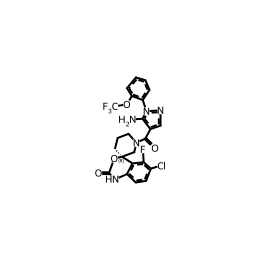 Nc1c(C(=O)N2CCC[C@@]3(C2)OC(=O)Nc2ccc(Cl)c(F)c23)cnn1-c1ccccc1OC(F)(F)F